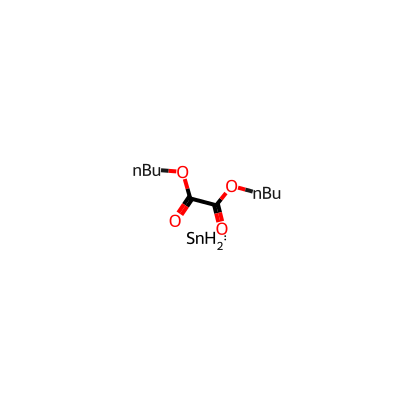 CCCCOC(=O)C(=O)OCCCC.[SnH2]